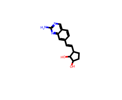 Nc1ncc2ccc(/C=C/C3CCC(O)C3O)cc2n1